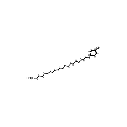 O=C(O)CCCCCCCCCCCCCCCCCOCCCc1ccc(O)cc1